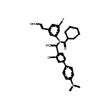 CN(C)c1ccc(-c2ccc(C(O)N(C(=O)C3CCCCC3)c3cc(F)cc(/C=C/C=O)c3)c(Cl)c2)cc1